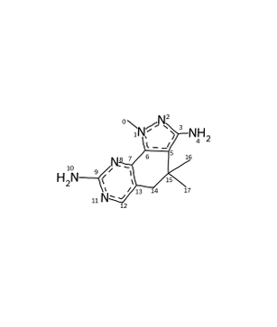 Cn1nc(N)c2c1-c1nc(N)ncc1CC2(C)C